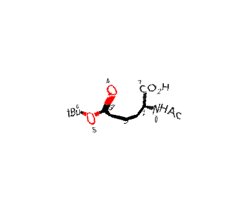 CC(=O)N[C@@H](CC(=O)OC(C)(C)C)C(=O)O